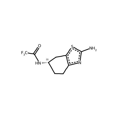 Nc1nc2c(s1)C[C@@H](NC(=O)C(F)(F)F)CC2